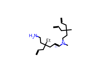 C=CCC(C)(CC=C)CCN(C)/C=C/CC(CC)(CC=C)CCN